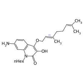 CCCCCCn1c(=O)c(O)c(OC/C=C(\C)CCC=C(C)C)c2ccc(N)cc21